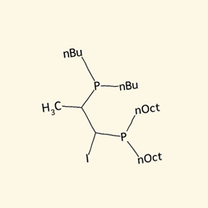 CCCCCCCCP(CCCCCCCC)C(I)C(C)P(CCCC)CCCC